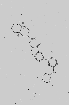 O=C(CN1Cc2ccc(-c3nc(NC4CCOCC4)ncc3Cl)cc2C1=O)N1CC[C@@H]2CCCC[C@H]2C1